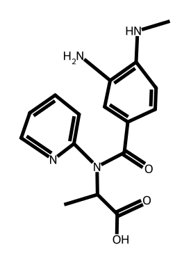 CNc1ccc(C(=O)N(c2ccccn2)C(C)C(=O)O)cc1N